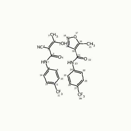 C/C(O)=C(\C#N)C(=O)Nc1ccc(C(F)(F)F)cc1.Cc1oncc1C(=O)Nc1ccc(C(F)(F)F)cc1